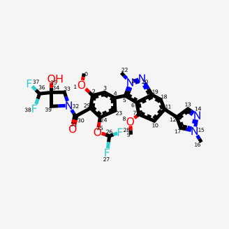 COc1cc(-c2c3c(OC)cc(-c4cnn(C)c4)cc3nn2C)cc(OC(F)F)c1C(=O)N1CC(O)(C(F)F)C1